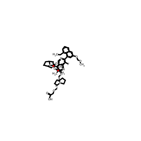 CCc1cccc2cc(OCOC)cc(-c3ncc4c(N5CC6CCC(C5)N6C(=O)OC(C)(C)C)nc(OC[C@@]56CCCN5[C@H](COCC(=O)O)CC6)nc4c3F)c12